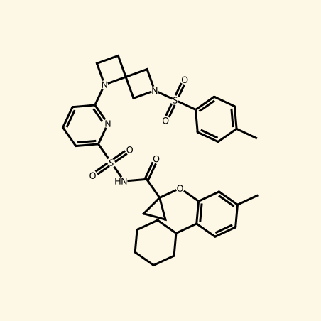 Cc1ccc(S(=O)(=O)N2CC3(CCN3c3cccc(S(=O)(=O)NC(=O)C4(Oc5cc(C)ccc5C5CCCCC5)CC4)n3)C2)cc1